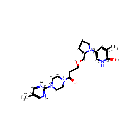 O=C(CCOCC1CCCN1c1c[nH]c(=O)c(C(F)(F)F)c1)N1CCN(c2ncc(C(F)(F)F)cn2)CC1